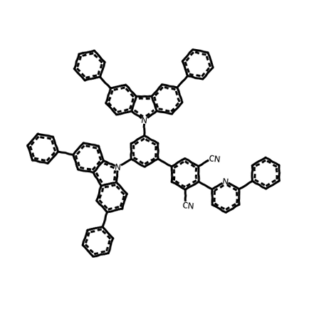 N#Cc1cc(-c2cc(-n3c4ccc(-c5ccccc5)cc4c4cc(-c5ccccc5)ccc43)cc(-n3c4ccc(-c5ccccc5)cc4c4cc(-c5ccccc5)ccc43)c2)cc(C#N)c1-c1cccc(-c2ccccc2)n1